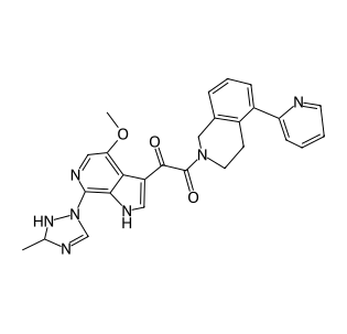 COc1cnc(N2C=NC(C)N2)c2[nH]cc(C(=O)C(=O)N3CCc4c(cccc4-c4ccccn4)C3)c12